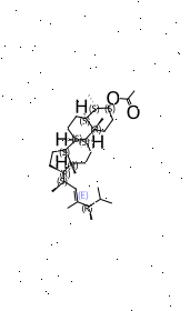 CC(=O)O[C@H]1CC[C@@]2(C)[C@@H](CC[C@@H]3[C@@H]2CC[C@]2(C)[C@@H]([C@H](C)/C=C(\C)[C@H](C)C(C)C)CC[C@@H]32)[C@@H]1C